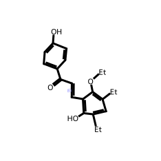 CCOc1c(CC)cc(CC)c(O)c1/C=C/C(=O)c1ccc(O)cc1